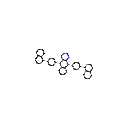 c1ccc2c(-c3ccc(-c4c5ccccc5c(-c5ccc(-c6cccc7ccccc67)cc5)c5ncccc45)cc3)cccc2c1